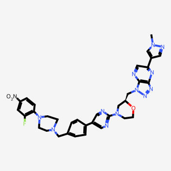 Cn1cc(-c2cnc3c(nnn3C[C@@H]3CN(c4ncc(-c5ccc(CN6CCN(c7ccc([N+](=O)[O-])cc7F)CC6)cc5)cn4)CCO3)n2)cn1